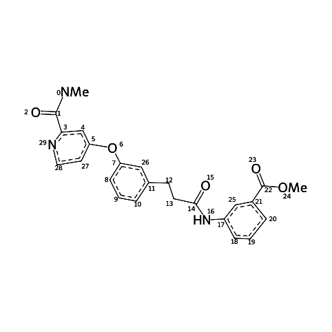 CNC(=O)c1cc(Oc2cccc(CCC(=O)Nc3cccc(C(=O)OC)c3)c2)ccn1